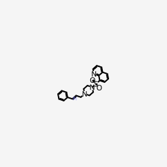 O=S(=O)(c1cccc2cccnc12)N1CCN(C/C=C/c2ccccc2)CC1